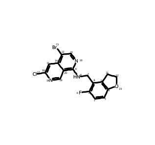 Fc1ccc2c(c1CNc1ncc(Br)c3cc(Cl)ncc13)CCO2